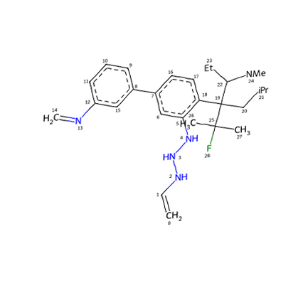 C=CNNNc1cc(-c2cccc(N=C)c2)ccc1C(CC(C)C)(C(CC)NC)C(C)(C)F